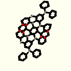 c1ccc(-c2c3c(c(-c4ccccc4)c4c2B2c5ccccc5Sc5cc(N(c6ccccc6)c6ccccc6)cc(c52)N4c2ccccc2)N(c2ccccc2)c2cc(N(c4ccccc4)c4ccccc4)cc4c2B3c2ccccc2S4)cc1